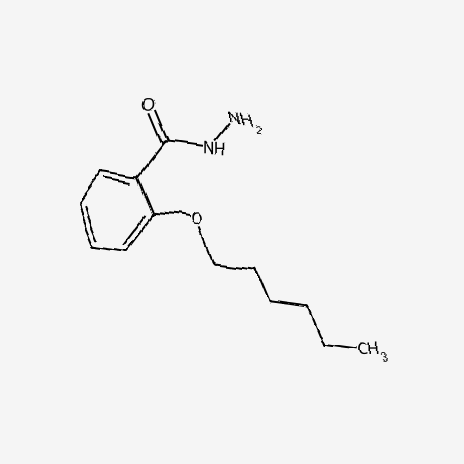 CCCCCCOc1ccccc1C(=O)NN